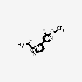 CC(F)c1nnc2ccc(-c3cnc(OCC(F)(F)F)c(F)c3)cn12